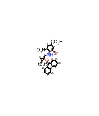 CC(C)(C)[Si](OC1(CNc2c(Br)cc(C(=O)O)cc2[N+](=O)[O-])CC1)(c1ccccc1)c1ccccc1